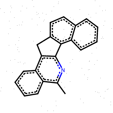 Cc1nc2c(c3ccccc13)Cc1ccc3ccccc3c1-2